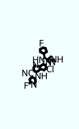 N#Cc1cnc2c(N[C@@H](c3ccc(F)cc3)c3c[nH]nn3)cc(Cl)cc2c1Nc1ccc(F)nc1